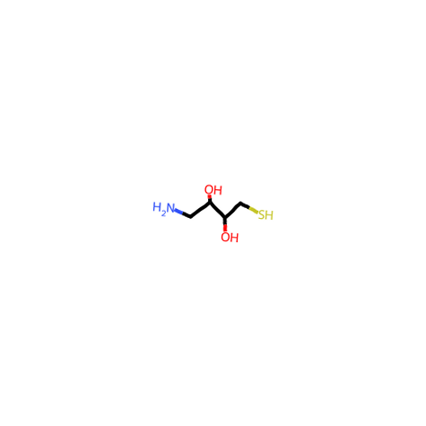 NCC(O)C(O)CS